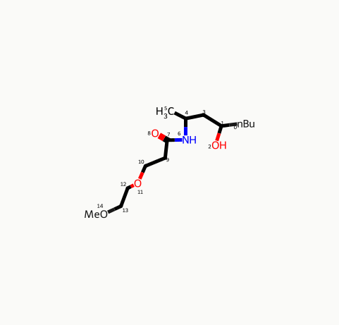 CCCCC(O)CC(C)NC(=O)CCOCCOC